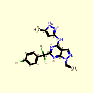 C=Cn1ncc2c(Nc3cc(C)[nH]n3)nc(C(F)(F)c3ccc(F)cc3)nc21